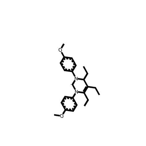 CCC1=C(CC)N(c2ccc(OC)cc2)[CH]N(c2ccc(OC)cc2)C1CC